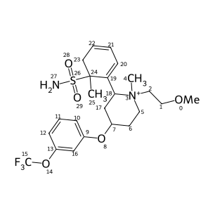 COCC[N+]1(C)CCC(Oc2cccc(OC(F)(F)F)c2)CC1C1=CC=CCC1(C)S(N)(=O)=O